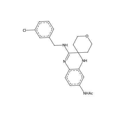 CC(=O)Nc1ccc2c(c1)NC1(CCOCC1)C(NCc1cccc(Cl)c1)=N2